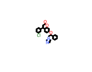 O=c1cc(-c2cccc(Cl)c2)c2ccc(OC(Cn3ccnc3)c3ccccc3)cc2o1